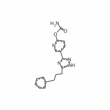 NC(=O)Oc1ccc(-c2n[nH]c([CH]CCc3ccccc3)n2)cn1